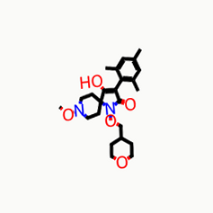 CON1CCC2(CC1)C(O)=C(c1c(C)cc(C)cc1C)C(=O)N2OCC1CCOCC1